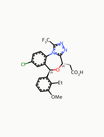 CCc1c(OC)cccc1[C@@H]1O[C@@H](CC(=O)O)c2nnc(C(F)(F)F)n2-c2ccc(Cl)cc21